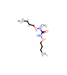 CCCCONC(=O)N(C)OCCCC